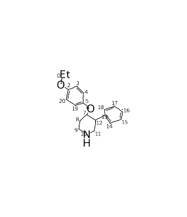 CCOc1ccc(OC2CCNCC2c2cc[c]cc2)cc1